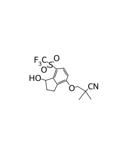 CC(C)(C#N)COc1ccc(S(=O)(=O)C(F)(F)F)c2c1CCC2O